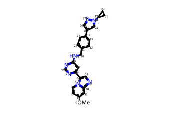 COc1ccn2c(-c3cc(NCc4ccc(-c5cnn(C6CC6)c5)cc4)ncn3)cnc2c1